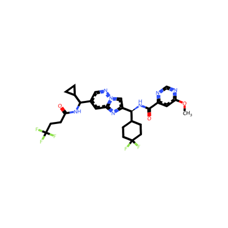 COc1cc(C(=O)N[C@H](c2cn3ncc(C(NC(=O)CCC(F)(F)F)C4CC4)cc3n2)C2CCC(F)(F)CC2)ncn1